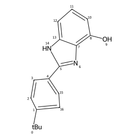 CC(C)(C)c1ccc(-c2nc3c(O)cccc3[nH]2)cc1